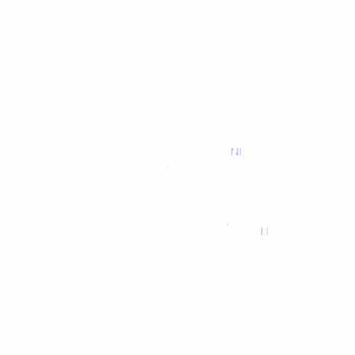 COCCc1c(N)ccc2ccccc12